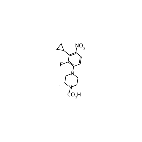 C[C@@H]1CN(c2ccc([N+](=O)[O-])c(C3CC3)c2F)CCN1C(=O)O